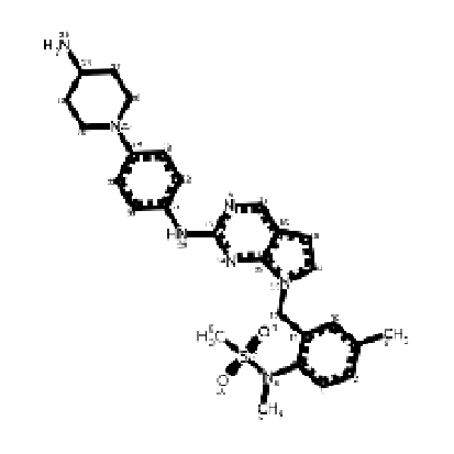 Cc1ccc(N(C)S(C)(=O)=O)c(Cn2ccc3cnc(Nc4ccc(N5CCC(N)CC5)cc4)nc32)c1